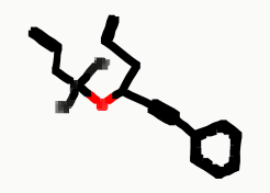 C=CCC(C#Cc1ccccc1)O[Si](CC=C)(C(C)C)C(C)C